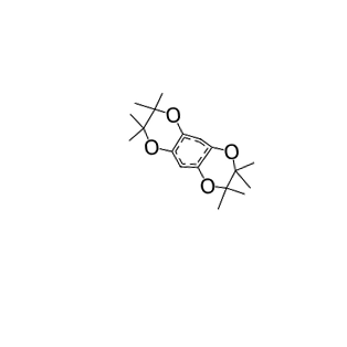 CC1(C)Oc2cc3c(cc2OC1(C)C)OC(C)(C)C(C)(C)O3